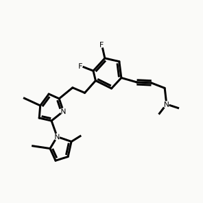 Cc1cc(CCc2cc(C#CCN(C)C)cc(F)c2F)nc(-n2c(C)ccc2C)c1